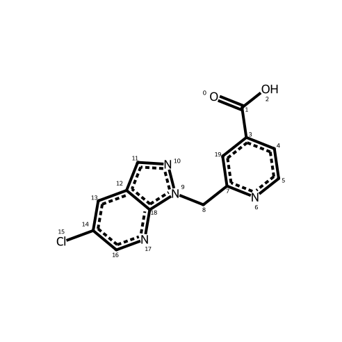 O=C(O)c1ccnc(Cn2ncc3cc(Cl)cnc32)c1